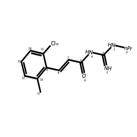 CCCNC(=N)NC(=O)/C=C/c1c(C)cccc1Cl